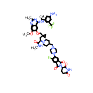 CNC(=O)C(CC1(COc2cc3c(NC(C)c4cc(N)cc(C(F)(F)F)c4)nc(C)nc3cc2OC)CC1)N1CCC(CN2CCN(c3cc4c(cc3F)C(=O)N(C3CCC(=O)NC3=O)C4=O)CC2)CC1